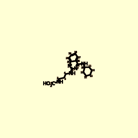 O=C(O)NCCCNc1nc(NC2CCCCC2)c2ccccc2n1